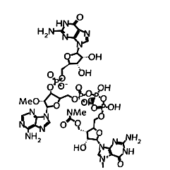 CNC(=O)OC[C@H]1[C@@H](O)[C@H](n2c[n+](C)c3c(=O)[nH]c(N)nc32)O[C@@H]1COP(=O)(O)OP(=O)(O)OP(=O)(O)OCC1O[C@@H](n2cnc3c(N)ncnc32)[C@H](OC)[C@@H]1OP(=O)([O-])OC[C@H]1O[C@@H](n2cnc3c(=O)[nH]c(N)nc32)[C@H](O)[C@@H]1O